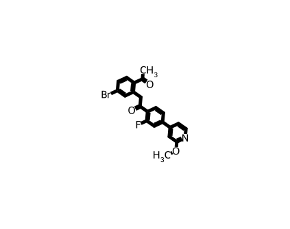 COc1cc(-c2ccc(C(=O)Cc3cc(Br)ccc3C(C)=O)c(F)c2)ccn1